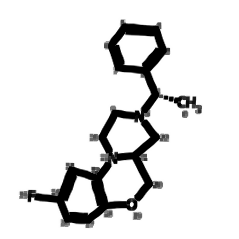 C[C@@H](c1ccccc1)N1CCN2c3cc(F)ccc3OCC2C1